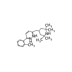 Cc1ccccc1C(=N)/C=C\C(=N)CC1CC(C)(C)NC(C)(C)C1